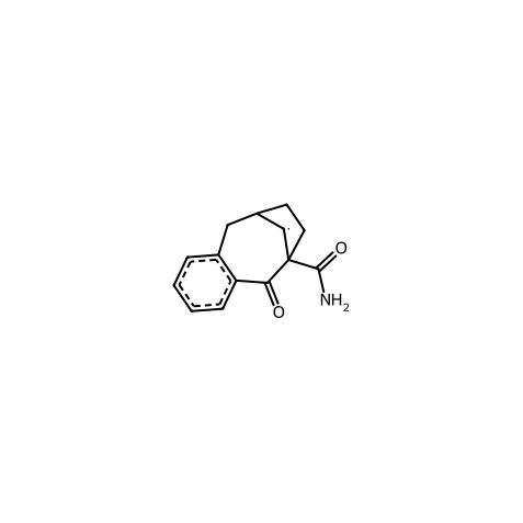 NC(=O)C12[CH]C(CC1)Cc1ccccc1C2=O